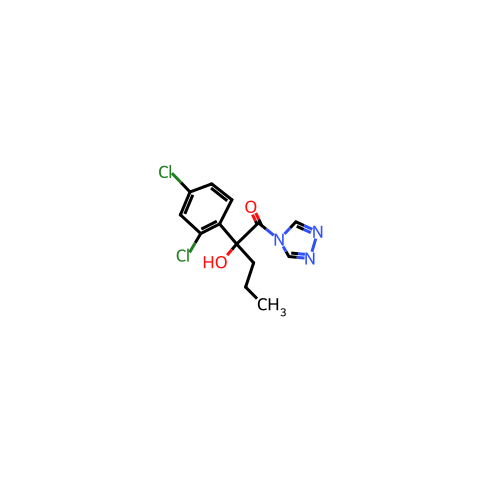 CCCC(O)(C(=O)n1cnnc1)c1ccc(Cl)cc1Cl